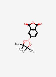 CC1(C)OB(c2ccc3c(c2)C(=O)OC3=O)OC1(C)C